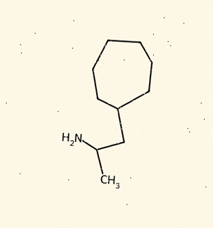 CC(N)CC1CCCCCC1